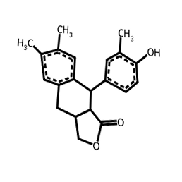 Cc1cc2c(cc1C)C(c1ccc(O)c(C)c1)C1C(=O)OCC1C2